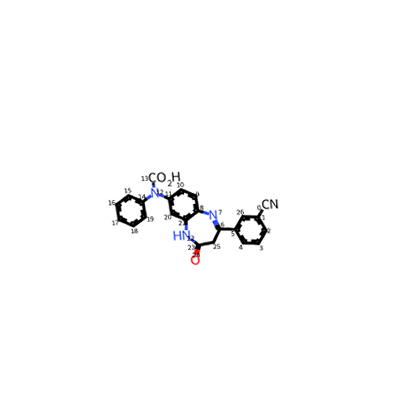 N#Cc1cccc(C2=Nc3ccc(N(C(=O)O)c4ccccc4)cc3NC(=O)C2)c1